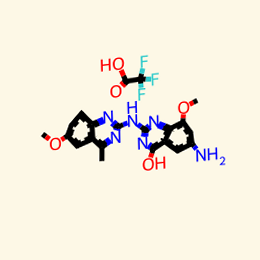 COc1ccc2nc(Nc3nc(O)c4cc(N)cc(OC)c4n3)nc(C)c2c1.O=C(O)C(F)(F)F